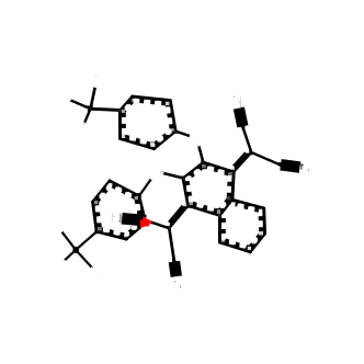 N#CC(C#N)=c1c(Oc2ccc(C(F)(F)F)cc2)c(Oc2ccc(C(F)(F)F)cc2)c(=C(C#N)C#N)c2ccccc12